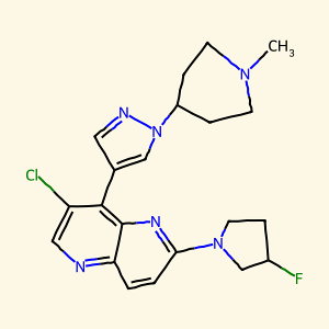 CN1CCC(n2cc(-c3c(Cl)cnc4ccc(N5CCC(F)C5)nc34)cn2)CC1